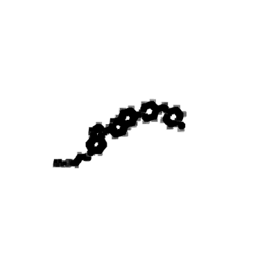 COCCOc1ccc2c(c1)ncn2-c1ccc2cc(N3CCC(CN4CCN(C)CC4)CC3)ccc2n1